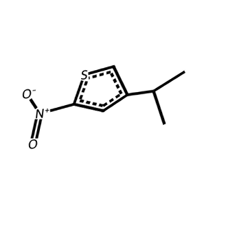 CC(C)c1csc([N+](=O)[O-])c1